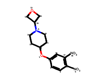 O=[N+]([O-])c1ccc(OC2CCN(C3COC3)CC2)cc1[N+](=O)[O-]